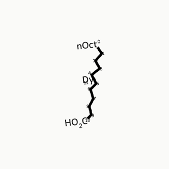 CCCCCCCCCCCCCCCCCC(=O)O.[Dy]